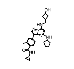 Cc1cc(-c2cnn3c(NCC4CC(O)C4)cc(NC4CCCC4)nc23)ccc1C(=O)NC1CC1